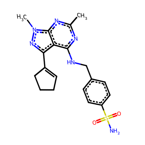 Cc1nc(NCc2ccc(S(N)(=O)=O)cc2)c2c(C3=CCCC3)nn(C)c2n1